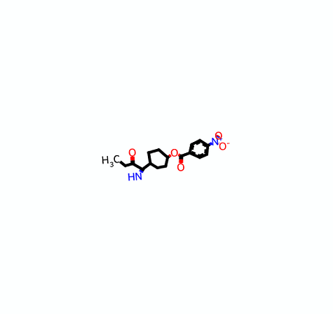 CCC(=O)C(=N)C1CCC(OC(=O)c2ccc([N+](=O)[O-])cc2)CC1